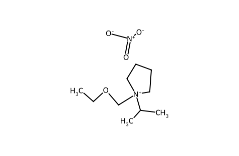 CCOC[N+]1(C(C)C)CCCC1.O=[N+]([O-])[O-]